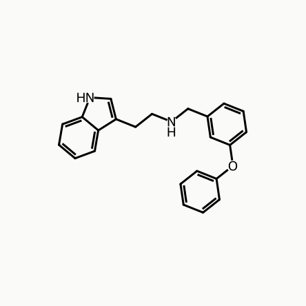 c1ccc(Oc2cccc(CNCCc3c[nH]c4ccccc34)c2)cc1